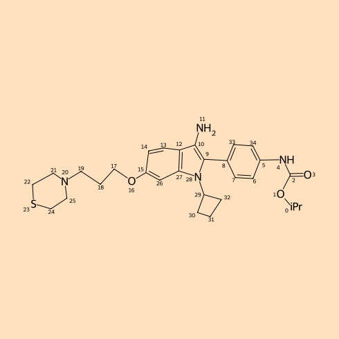 CC(C)OC(=O)Nc1ccc(-c2c(N)c3ccc(OCCCN4CCSCC4)cc3n2C2CCC2)cc1